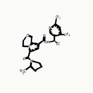 CC[C@@H](NC(=O)c1cc(C(=O)N2CCCC2C)n2c1COCC2)c1cnc(C(F)(F)F)cc1C(F)(F)F